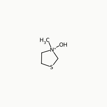 C[N+]1(O)CCSC1